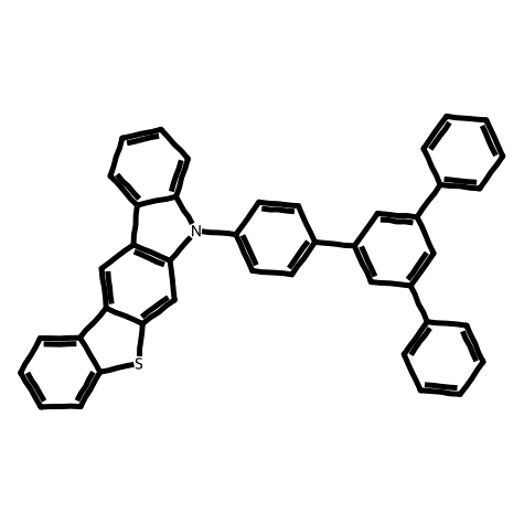 c1ccc(-c2cc(-c3ccccc3)cc(-c3ccc(-n4c5ccccc5c5cc6c(cc54)sc4ccccc46)cc3)c2)cc1